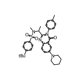 Cc1ccc(-n2c(C(C)N(C)S(=O)(=O)c3ccc(C(C)(C)C)cc3)nc3ccc(N4CCCCC4)cc3c2=O)cc1